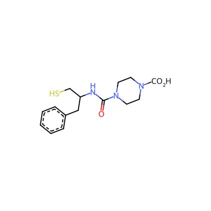 O=C(O)N1CCN(C(=O)NC(CS)Cc2ccccc2)CC1